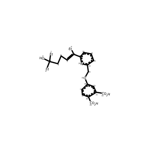 CCC(=CCCC(O)(CC)CC)c1cccc(COc2ccc(C(=O)O)c(C(=O)O)c2)n1